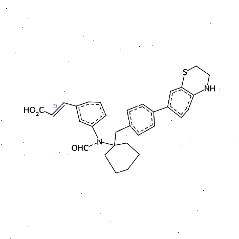 O=CN(c1cccc(/C=C/C(=O)O)c1)C1(Cc2ccc(-c3ccc4c(c3)SCCN4)cc2)CCCCC1